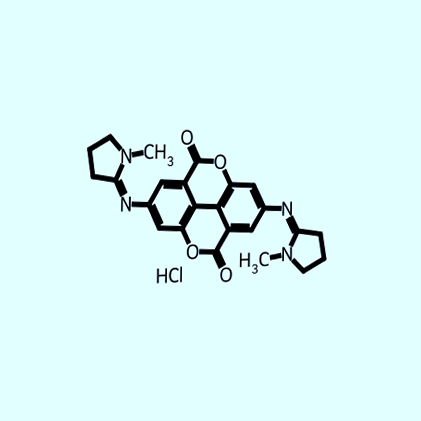 CN1CCCC1=Nc1cc2oc(=O)c3cc(N=C4CCCN4C)cc4oc(=O)c(c1)c2c43.Cl